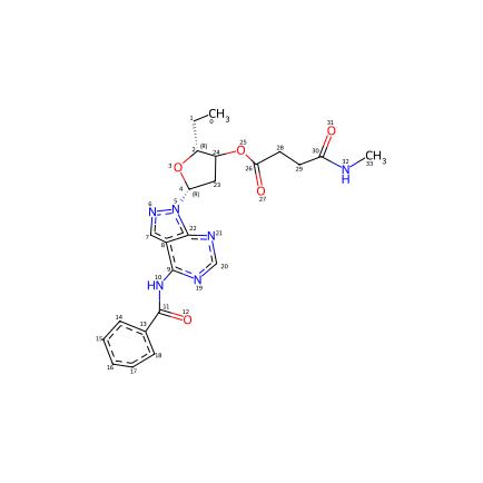 CC[C@H]1O[C@@H](n2ncc3c(NC(=O)c4ccccc4)ncnc32)CC1OC(=O)CCC(=O)NC